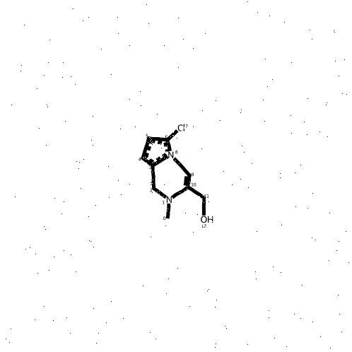 CN1Cc2ccc(Cl)n2C=C1CO